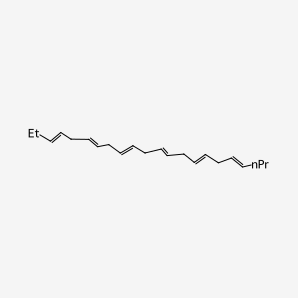 [CH2]CCC=CCC=CCC=CCC=CCC=CCC=CCC